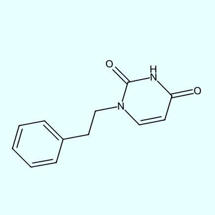 O=c1ccn(CCc2ccccc2)c(=O)[nH]1